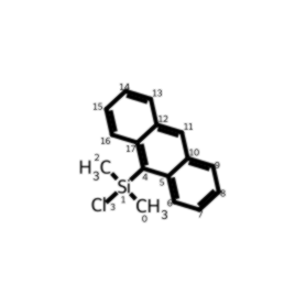 C[Si](C)(Cl)c1c2ccccc2cc2ccccc12